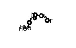 O=C(NO)c1ccc(Cn2ccc3c(C4CCN(Cc5cccc(F)c5)CC4)ccnc32)cc1